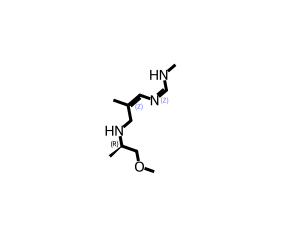 CN/C=N\C=C(\C)CN[C@H](C)COC